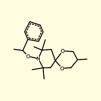 CC1COC2(CC(C)(C)N(OC(C)c3ccccc3)C(C)(C)C2)OC1